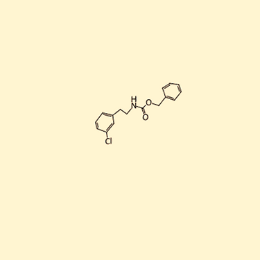 O=C(NCCc1cccc(Cl)c1)OCc1ccccc1